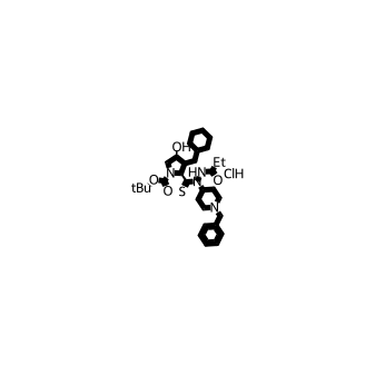 CCC(=O)NN(C(=S)[C@@H]1C(CC2CCCCC2)[C@@H](O)CN1C(=O)OC(C)(C)C)C1CCN(Cc2ccccc2)CC1.Cl